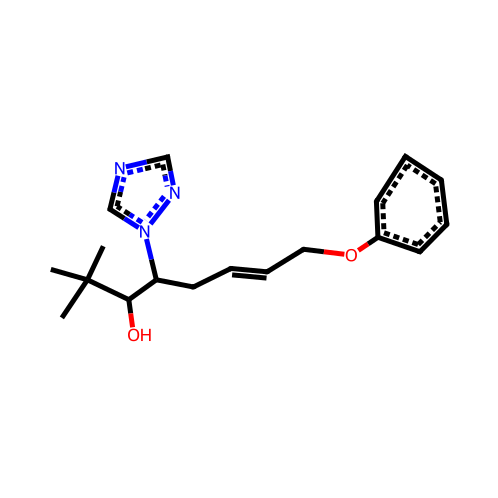 CC(C)(C)C(O)C(CC=CCOc1ccccc1)n1cncn1